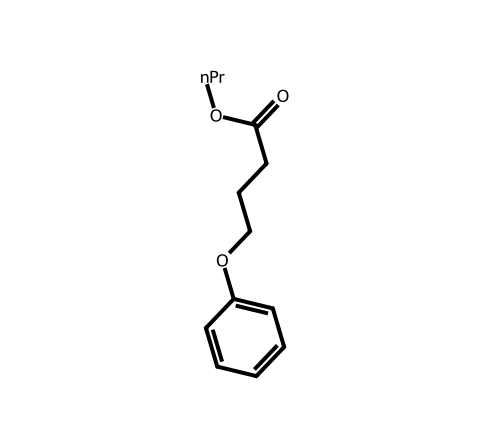 CCCOC(=O)CCCOc1ccccc1